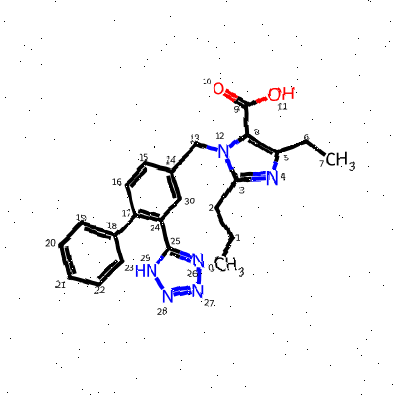 CCCc1nc(CC)c(C(=O)O)n1Cc1ccc(-c2ccccc2)c(-c2nnn[nH]2)c1